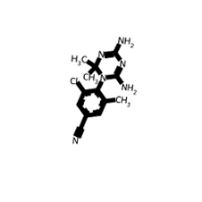 Cc1cc(C#N)cc(Cl)c1N1C(N)=NC(N)=NC1(C)C